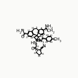 C=C(N)c1ccc2c(c1)CCc1cc(C(N)=O)ccc1C2(C[C@@H](C)NCC(=O)N1CCCC1C#N)c1nnc(-c2ccc(C)cc2)o1